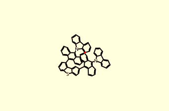 c1cc(-c2c3ccccc3c(-n3c4ccccc4c4ccccc43)c3ccccc23)c2c(c1)sc1ccc(-c3c4ccccc4c(-n4c5ccccc5c5ccccc54)c4ccccc34)cc12